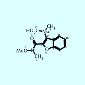 CON(C)C(=O)c1oc2ccccc2c1N(C)C(=O)O